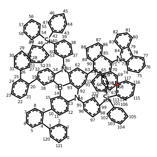 c1ccc(-c2ccccc2-c2ccc3c(c2)B2c4cc(-c5ccccc5-c5ccccc5)ccc4N(c4cccc([Si](c5ccccc5)(c5ccccc5)c5ccccc5)c4)c4cc(-c5c6ccccc6c(-n6c7ccccc7c7ccccc76)c6ccccc56)cc(c42)N3c2cccc([Si](c3ccccc3)(c3ccccc3)c3ccccc3)c2)cc1